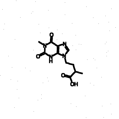 CC(CCn1cnc2c(=O)n(C)c(=O)[nH]c21)C(=O)O